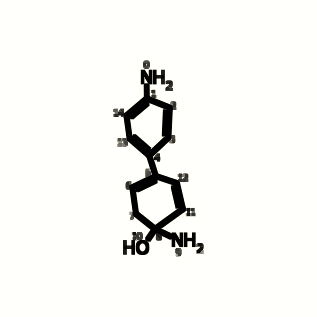 Nc1ccc(C2=CCC(N)(O)C=C2)cc1